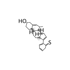 CC1C=C2CC(O)CC[C@]2(C)[C@H]2CC[C@]3(C)C(C4=CC=CCC4=S)=CC[C@H]3[C@H]12